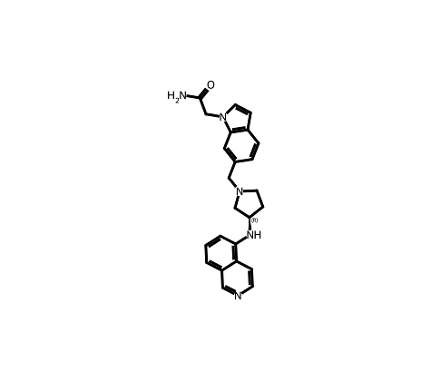 NC(=O)Cn1ccc2ccc(CN3CC[C@@H](Nc4cccc5cnccc45)C3)cc21